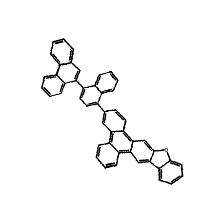 c1ccc2c(c1)cc(-c1ccc(-c3ccc4c(c3)c3ccccc3c3cc5c(cc43)oc3ccccc35)c3ccccc13)c1ccccc12